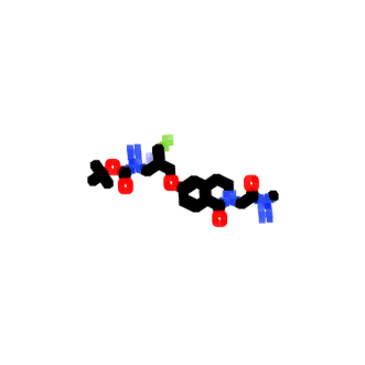 CNC(=O)CN1CCc2cc(OC/C(=C\F)CNC(=O)OC(C)(C)C)ccc2C1=O